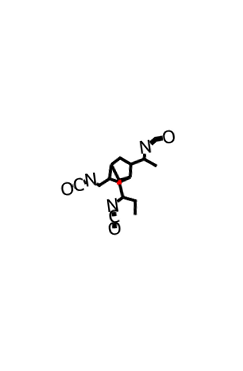 CCC(N=C=O)C1C(CN=C=O)C2CC(C(C)N=C=O)C1C2